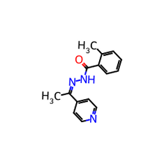 CC(=NNC(=O)c1ccccc1C)c1ccncc1